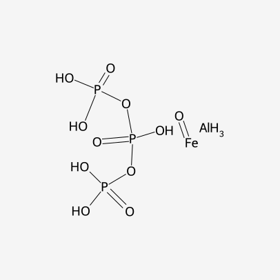 O=P(O)(O)OP(=O)(O)OP(=O)(O)O.[AlH3].[O]=[Fe]